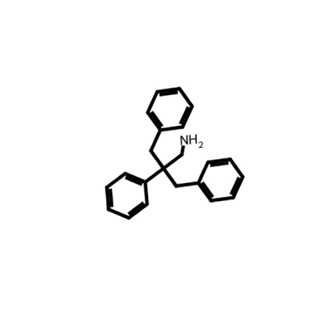 NCC(Cc1ccccc1)(Cc1ccccc1)c1ccccc1